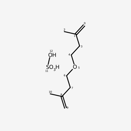 C=C(C)CCOCCC(=C)C.O=S(=O)(O)O